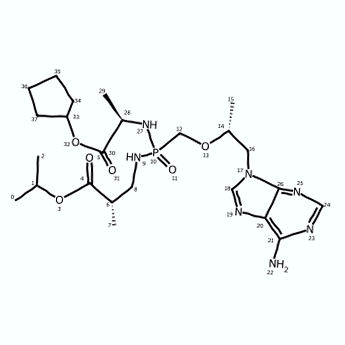 CC(C)OC(=O)[C@@H](C)CNP(=O)(CO[C@H](C)Cn1cnc2c(N)ncnc21)N[C@H](C)C(=O)OC1CCCC1